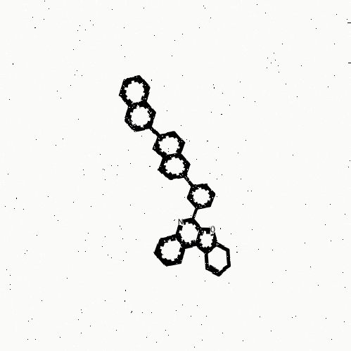 C1=Cc2c(oc3c(-c4cccc(-c5ccc6cc(-c7ccc8ccccc8c7)ccc6c5)c4)nc4ccccc4c23)CC1